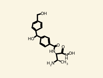 C[C@@H](N)[C@H](NC(=O)c1ccc(C(O)c2ccc(CO)cc2)cc1)C(=O)NO